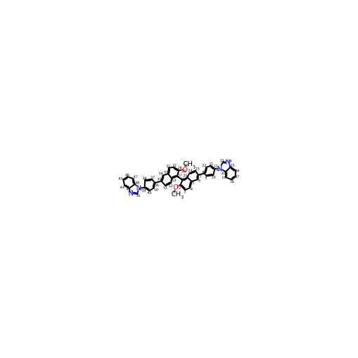 COc1ccc2cc(-c3ccc(-n4cnc5ccccc54)cc3)ccc2c1-c1c(OC)ccc2cc(-c3ccc(-n4cnc5ccccc54)cc3)ccc12